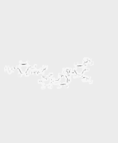 Cc1ccc(CNC(=O)[C@H]2CCCN(c3ccnc(Nc4cc(C)cc(C)c4)n3)C2)cc1